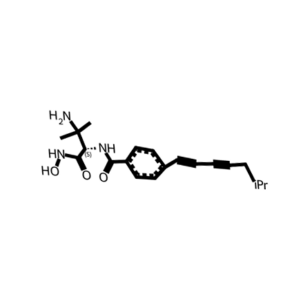 CC(C)CC#CC#Cc1ccc(C(=O)N[C@H](C(=O)NO)C(C)(C)N)cc1